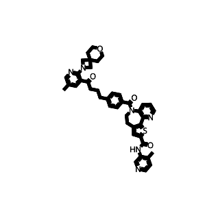 Cc1cnc(N2CC3(CCOCC3)C2)c(C(=O)CCCc2ccc(C(=O)N3CCc4cc(C(=O)Nc5cnccc5C)sc4-c4ncccc43)cc2)c1